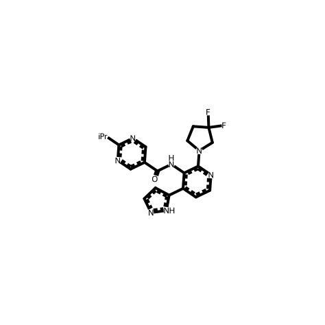 CC(C)c1ncc(C(=O)Nc2c(-c3ccn[nH]3)ccnc2N2CCC(F)(F)C2)cn1